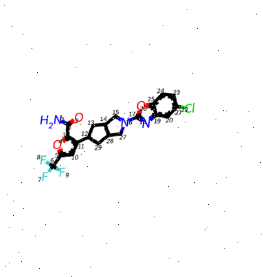 NC(=O)c1oc(C(F)(F)F)cc1C1CC2CN(c3nc4cc(Cl)ccc4o3)CC2C1